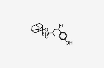 CCC(CC(C)C(=O)OC1(CC)C2CC3CC(C2)CC1C3)c1ccc(O)cc1